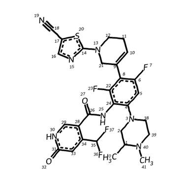 CC1CN(c2cc(F)c(C3=CCCN(c4ncc(C#N)s4)C3)c(F)c2NC(=O)c2c[nH]c(=O)cc2C(F)F)CCN1C